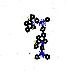 c1ccc(-c2nc(-c3ccccc3)nc(-c3ccc(-n4c5cccc6c5c5c7c(cccc7c7sc8ccccc8c7c54)-c4cc(-c5ccc(-c7nc(-c8ccccc8)nc(-c8cccc(-n9c%10cccc%11c%10c%10c%12c(cccc%12c%12sc%13ccccc%13c%12c%109)-c9ccccc9-%11)c8)n7)cc5)ccc4-6)cc3)n2)cc1